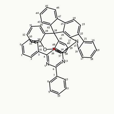 c1ccc(-c2nc(-c3ccccc3)nc(-n3c4ccccc4c4ccc5c(c43)C3(c4ccccc4Oc4ccccc43)c3ccccc3-5)n2)cc1